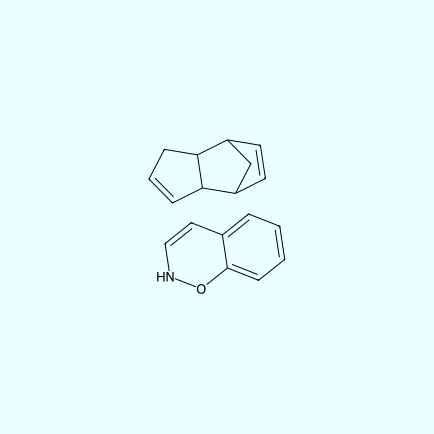 C1=CC2C3C=CC(C3)C2C1.C1=Cc2ccccc2ON1